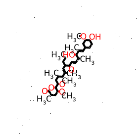 CCCC(C=C(C)CC(C)CC(OC)C1OC(=O)C(C)CC1OC)C(=O)C=CC(C)C(O)C(C)=CC1CCC(O)C(OC)C1